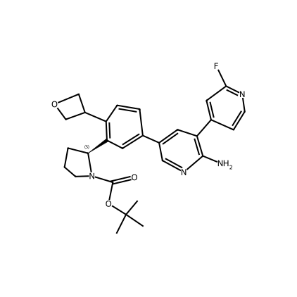 CC(C)(C)OC(=O)N1CCC[C@H]1c1cc(-c2cnc(N)c(-c3ccnc(F)c3)c2)ccc1C1COC1